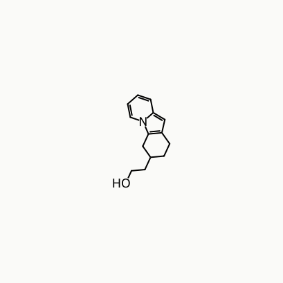 OCCC1CCc2cc3ccccn3c2C1